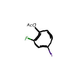 CC(=O)Oc1ccc(I)cc1F